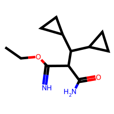 CCOC(=N)C(C(N)=O)C(C1CC1)C1CC1